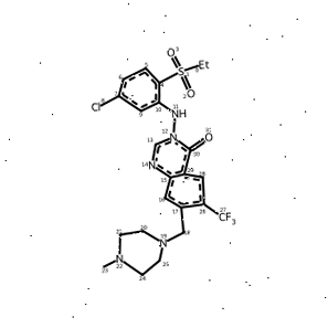 CCS(=O)(=O)c1ccc(Cl)cc1Nn1cnc2cc(CN3CCN(C)CC3)c(C(F)(F)F)cc2c1=O